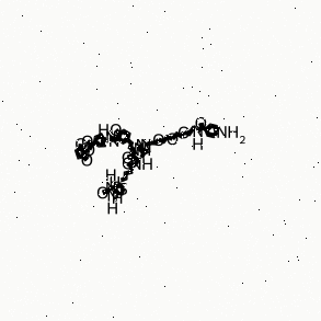 Nc1ccc(C(=O)NCCOCCOCCOCCn2cc(C[C@H](NC(=O)CCCC[C@@H]3SC[C@@H]4NC(=O)N[C@@H]43)C(=O)NCCc3ccc(O)c(/N=N/c4ccc(C(=O)ON5C(=O)CCC5=O)cc4)c3)nn2)cc1